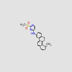 C[C@@H]1CC=Cc2ccc3c(c21)CCc1ccc(Nc2ccnc(S(C)(=O)=O)n2)cc1-3